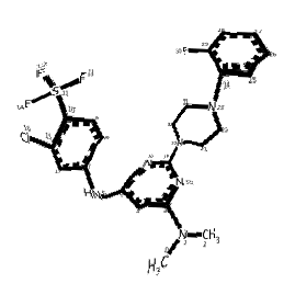 CN(C)c1cc(Nc2ccc(S(F)(F)F)c(Cl)c2)nc(N2CCN(c3ccccc3F)CC2)n1